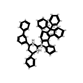 c1ccc(-c2cccc(C3CC(c4ccccc4)NC(n4c5ccccc5c5c6c(ccc54)C(c4ccccc4)(c4ccccc4)c4ccccc4-6)N3)c2)cc1